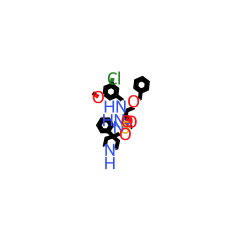 COc1cc(Cl)cc(CNC(COCc2ccccc2)C(=O)N[N+]2(S(C)(=O)=O)CC3(CCNCC3)c3ccccc32)c1